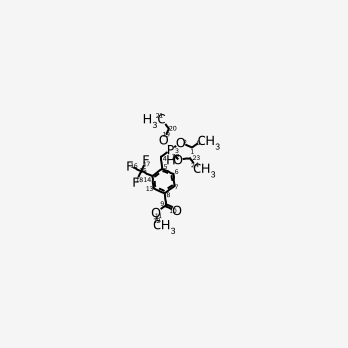 CCO[PH](Cc1ccc(C(=O)OC)cc1C(F)(F)F)(OCC)OCC